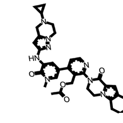 CC(=O)OCc1c(-c2cc(Nc3cc4n(n3)CCN(C3CC3)C4)c(=O)n(C)c2)ccnc1N1CCn2c(cc3c2CCCC3)C1=O